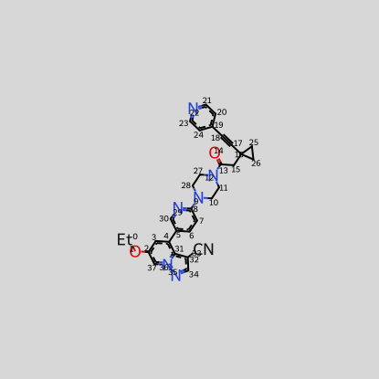 CCOc1cc(-c2ccc(N3CCN(C(=O)CC4(C#Cc5ccncc5)CC4)CC3)nc2)c2c(C#N)cnn2c1